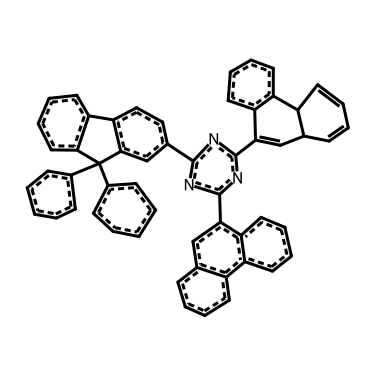 C1=CC2C=C(c3nc(-c4ccc5c(c4)C(c4ccccc4)(c4ccccc4)c4ccccc4-5)nc(-c4cc5ccccc5c5ccccc45)n3)c3ccccc3C2C=C1